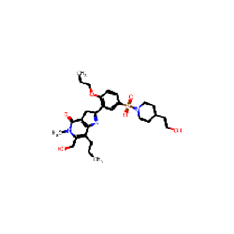 CCCOc1ccc(S(=O)(=O)N2CCC(CCO)CC2)cc1C1=Nc2c(CCC)c(CO)n(C)c(=O)c2C1